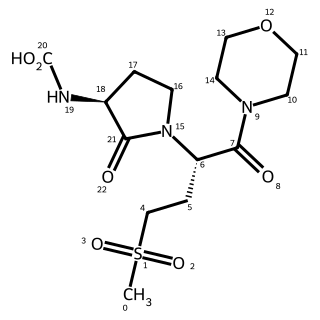 CS(=O)(=O)CC[C@@H](C(=O)N1CCOCC1)N1CC[C@H](NC(=O)O)C1=O